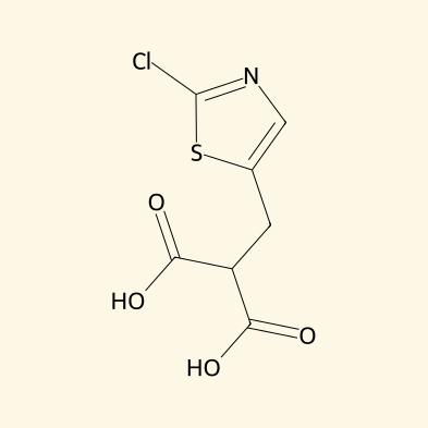 O=C(O)C(Cc1cnc(Cl)s1)C(=O)O